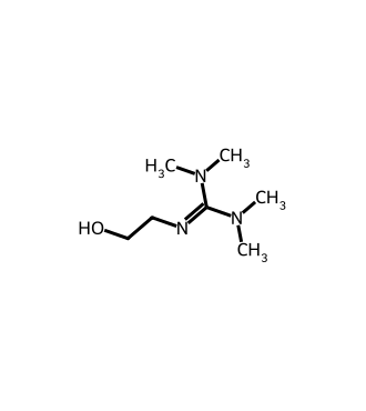 CN(C)C(=NCCO)N(C)C